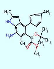 COC(=O)[C@@H](OC(C)(C)C)c1c(C)c(N)c2[nH]c(C)cc2c1-c1ccc(C)cc1